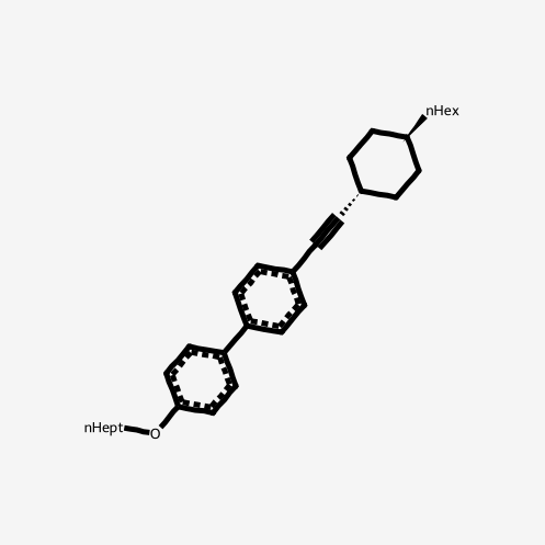 CCCCCCCOc1ccc(-c2ccc(C#C[C@H]3CC[C@H](CCCCCC)CC3)cc2)cc1